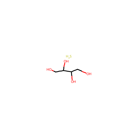 OCC(O)C(O)CO.S